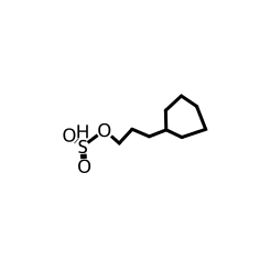 O=[SH](=O)OCCCC1CCCCC1